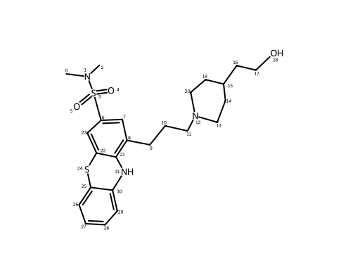 CN(C)S(=O)(=O)c1cc(CCCN2CCC(CCO)CC2)c2c(c1)Sc1ccccc1N2